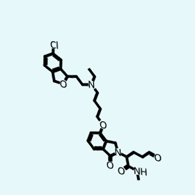 CCN(CCCCOc1cccc2c1CN(C(CCC=O)C(=O)NC)C2=O)CCC1OCc2ccc(Cl)cc21